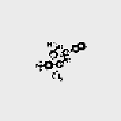 COC[C@H]1CN(C(=O)[C@@]2(F)CCN(C3Cc4ccccc4C3)C2)C[C@@H]1c1ccc(C(F)(F)F)cc1N1CCC(C(=O)O)CC1